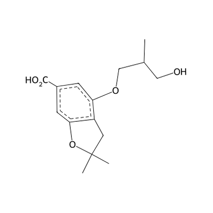 CC(CO)COc1cc(C(=O)O)cc2c1CC(C)(C)O2